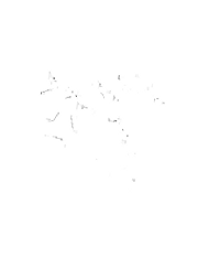 CC[C@H]1CCC[C@@H](NC(=O)[C@@H]2C[C@@]3(CO)C[C@H]3N2C(=O)Cn2nc(C(N)=O)c3ccccc32)C1